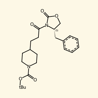 CC(C)(C)OC(=O)N1CCC(CCC(=O)N2C(=O)OC[C@@H]2Cc2ccccc2)CC1